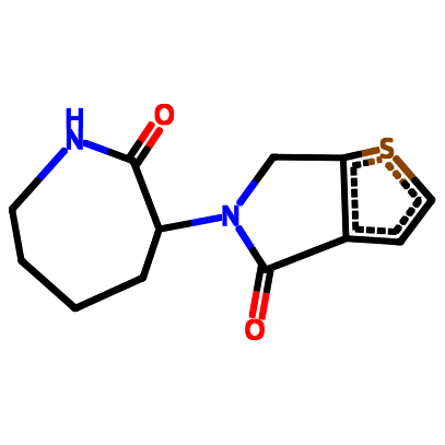 O=C1NCCCCC1N1Cc2sccc2C1=O